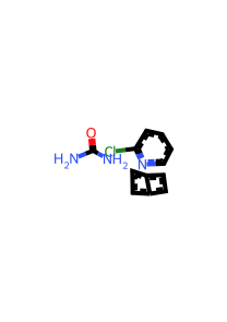 Clc1ccccn1.NC(N)=O.c1cc2ccc1-2